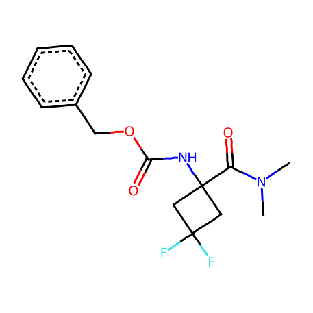 CN(C)C(=O)C1(NC(=O)OCc2ccccc2)CC(F)(F)C1